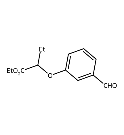 CCOC(=O)C(CC)Oc1cccc(C=O)c1